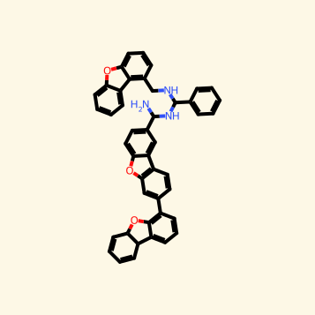 NC(NC(NCc1cccc2oc3ccccc3c12)c1ccccc1)c1ccc2oc3cc(-c4cccc5c4OC4C=CC=CC54)ccc3c2c1